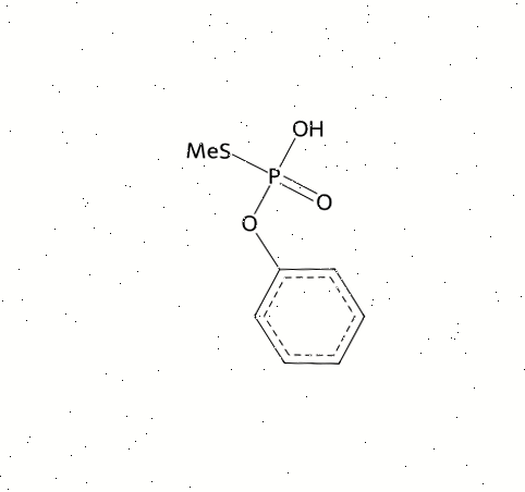 CSP(=O)(O)Oc1ccccc1